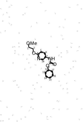 COCCOc1ccc(NC(=O)Oc2ccccc2)cn1